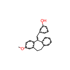 COc1ccc2c(c1)CCc1ccccc1C2=Cc1cccc(O)c1